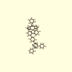 c1ccc(-c2nc(-c3ccccc3)nc(-c3ccc(-c4cccc5c4-c4ccccc4C54c5ccccc5N(c5ccccc5)c5ccccc54)cc3)n2)cc1